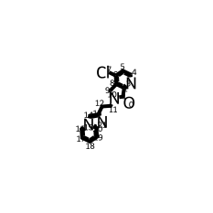 O=C1c2nccc(Cl)c2CN1CCc1cn2ccccc2n1